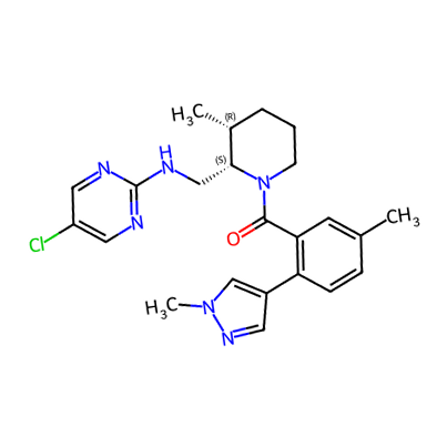 Cc1ccc(-c2cnn(C)c2)c(C(=O)N2CCC[C@@H](C)[C@H]2CNc2ncc(Cl)cn2)c1